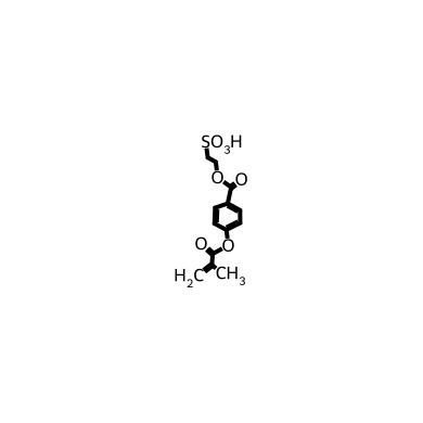 C=C(C)C(=O)Oc1ccc(C(=O)OCCS(=O)(=O)O)cc1